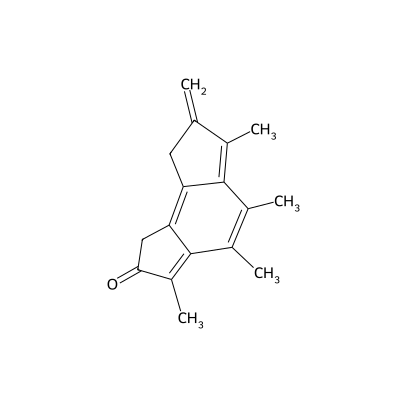 C=C1Cc2c3c(c(C)c(C)c2=C1C)=C(C)C(=O)C3